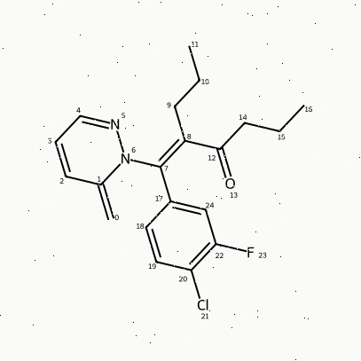 C=C1C=CC=NN1/C(=C(\CCC)C(=O)CCC)c1ccc(Cl)c(F)c1